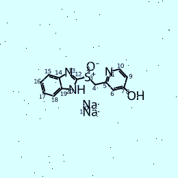 [Na].[Na].[O-][S+](Cc1cc(O)ccn1)c1nc2ccccc2[nH]1